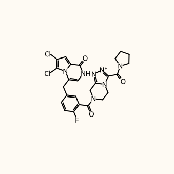 O=C(C1=[N+]N=C2CN(C(=O)c3cc(Cc4c[nH]c(=O)c5cc(Cl)c(Cl)n45)ccc3F)CCN21)N1CCCC1